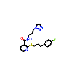 O=C(NCCCn1ccnn1)c1cccnc1SCCCc1ccc(F)cc1